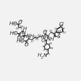 NCC1CCC(C(=O)N[C@H](Cc2csc3ccc(Cl)cc23)C(=O)NCCCC[C@H](NC(=O)N[C@@H](CCC(=O)O)C(=O)O)C(=O)O)CC1